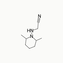 CC1CCCC(C)N1NCC#N